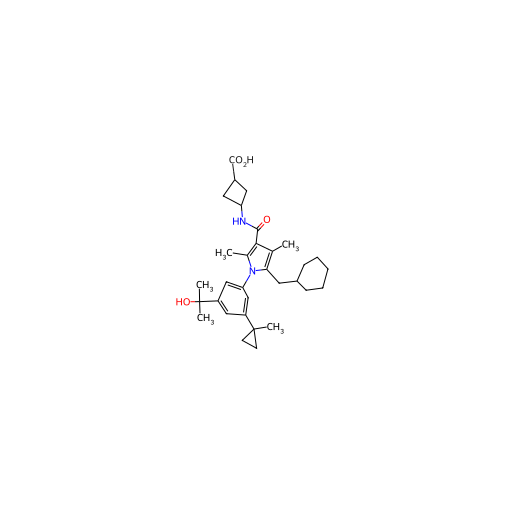 Cc1c(C(=O)NC2CC(C(=O)O)C2)c(C)n(-c2cc(C(C)(C)O)cc(C3(C)CC3)c2)c1CC1CCCCC1